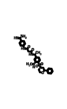 CBc1cc([C@H](C)NC(=O)CC(=O)Nc2ccc(C(=N)N)cc2)ccc1S(=O)(=O)N1CCOC(c2ccccc2)C1